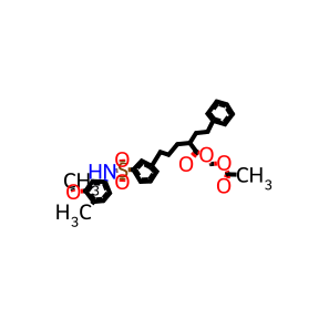 COc1cc(NS(=O)(=O)c2cccc(CCCC(CCc3ccccc3)C(=O)OCOC(C)=O)c2)ccc1C